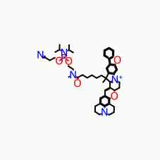 CC(C)N(C(C)C)P(OCCC#N)OCCN(C)C(=O)CCCCCC1(C)C2=[N+](CCC3Oc4c(cc5c6c4CCCN6CCC5)C=C23)c2cc3oc4ccccc4c3cc21